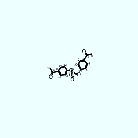 CC(=O)c1ccc(O[PH](=O)Oc2ccc(C(C)=O)cc2)cc1